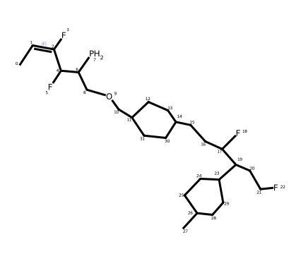 C/C=C(/F)C(F)C(P)COCC1CCC(CCC(F)C(CCF)C2CCC(C)CC2)CC1